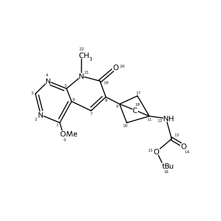 COc1ncnc2c1cc(C13CC(NC(=O)OC(C)(C)C)(C1)C3)c(=O)n2C